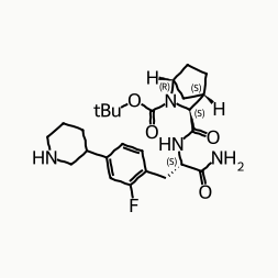 CC(C)(C)OC(=O)N1[C@@H]2CC[C@@H](C2)[C@H]1C(=O)N[C@@H](Cc1ccc(C2CCCNC2)cc1F)C(N)=O